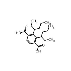 CCCC(CC)c1c(C(=O)O)ccc(C(=O)O)c1C(CC)CCC